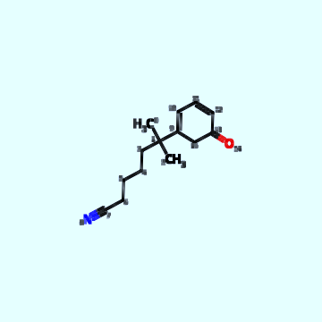 CC(C)(CCCCC#N)C1=CC=CC(=O)C1